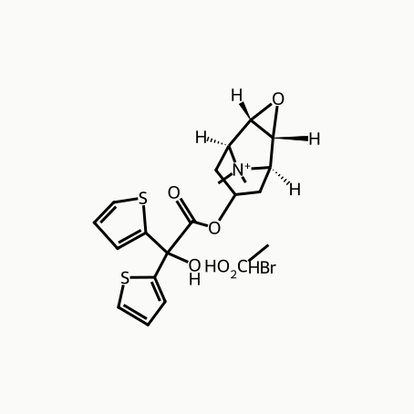 Br.CC(=O)O.C[N+]1(C)[C@@H]2CC(OC(=O)C(O)(c3cccs3)c3cccs3)C[C@H]1[C@@H]1O[C@@H]12